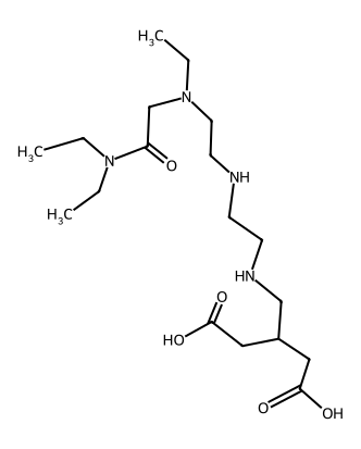 CCN(CCNCCNCC(CC(=O)O)CC(=O)O)CC(=O)N(CC)CC